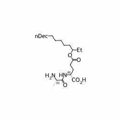 CCCCCCCCCCCCCCCC(CC)OC(=O)CC[C@@H](NC(=O)[C@H](C)N)C(=O)O